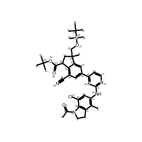 CC(=O)N1CCc2c(C)c(Nc3nccc(-c4cc(C#N)c5c(c4)C(C)(CO[Si](C)(C)C(C)(C)C)CC5C(=O)OC(C)(C)C)n3)cc(Cl)c21